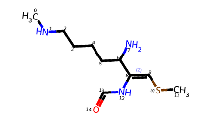 CNCCCCC(N)/C(=C/SC)NC=O